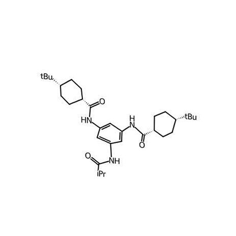 CC(C)C(=O)Nc1cc(NC(=O)[C@H]2CC[C@@H](C(C)(C)C)CC2)cc(NC(=O)[C@H]2CC[C@@H](C(C)(C)C)CC2)c1